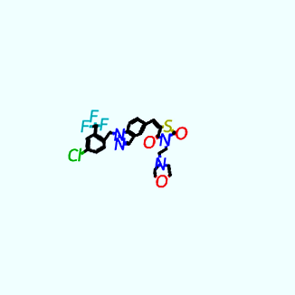 O=C1SC(=Cc2ccc3c(cnn3Cc3ccc(Cl)cc3C(F)(F)F)c2)C(=O)N1CCN1CCOCC1